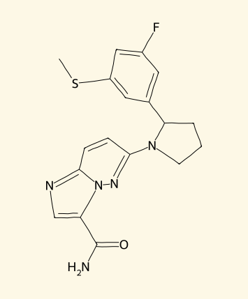 CSc1cc(F)cc(C2CCCN2c2ccc3ncc(C(N)=O)n3n2)c1